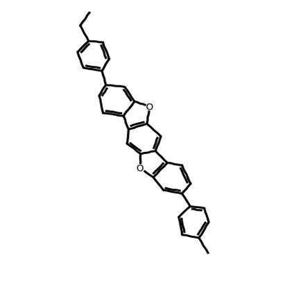 CCc1ccc(-c2ccc3c(c2)oc2cc4c(cc23)oc2cc(-c3ccc(C)cc3)ccc24)cc1